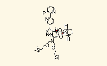 CC(C)(C)OC(=O)N1[C@@H]2CC[C@H]1C[C@@H](c1cc(N(COCC[Si](C)(C)C)COCC[Si](C)(C)C)n3ncc(-c4ccc(-c5ncccc5F)nc4)c3n1)C2